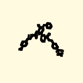 COc1ccc(CCNC(=O)C[C@H](NC(=O)[C@@H]2CCCN(C(=O)CCC3CCN(C(=O)OC(C)(C)C)CC3)C2)C(=O)OCc2ccccc2)cc1